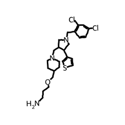 NCCCOCC1CCN(CC2CN(Cc3ccc(Cl)cc3Cl)CC2c2ccsc2)CC1